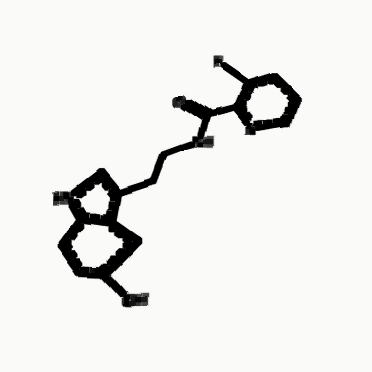 O=C(NCCc1c[nH]c2ccc(O)cc12)c1ncccc1F